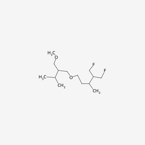 COCC(COCCC(C)C(CF)CF)C(C)C